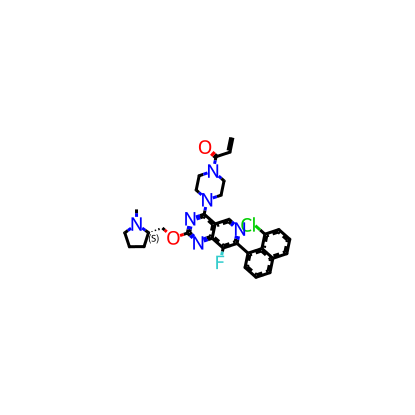 C=CC(=O)N1CCN(c2nc(OC[C@@H]3CCCN3C)nc3c(F)c(-c4cccc5cccc(Cl)c45)ncc23)CC1